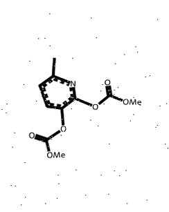 COC(=O)Oc1ccc(C)nc1OC(=O)OC